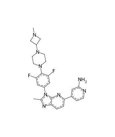 Cc1nc2ccc(-c3ccnc(N)c3)nc2n1-c1cc(F)c(N2CCN(C3CN(C)C3)CC2)c(F)c1